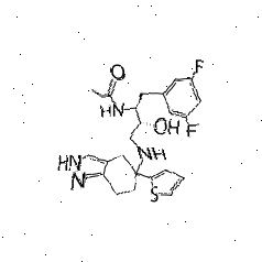 CC(=O)N[C@@H](Cc1cc(F)cc(F)c1)[C@H](O)CNC1(c2cccs2)CCc2n[nH]cc2C1